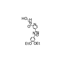 CCOc1ccc(-c2nc(-c3ccnc(C(=O)NCCO)c3)no2)cc1OCC